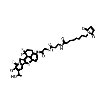 CCc1c(C(C)O)cc2n(c1=O)Cc1c-2nc2ccc(NC(=O)CNC(=O)CCNC(=O)CCCCCCCN3C(=O)C=CC3=O)c3c2c1C(F)(F)CC3